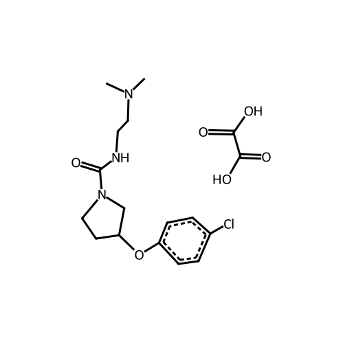 CN(C)CCNC(=O)N1CCC(Oc2ccc(Cl)cc2)C1.O=C(O)C(=O)O